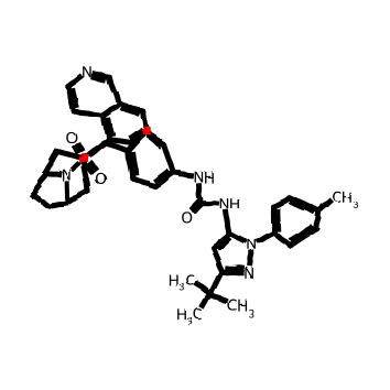 Cc1ccc(-n2nc(C(C)(C)C)cc2NC(=O)Nc2ccc(CC3CC4CCC(C3)N4S(=O)(=O)c3cccc4cnccc34)cc2)cc1